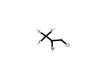 FC(F)(F)C(Br)CCl